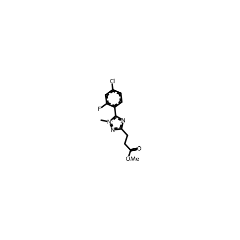 COC(=O)CCc1nc(-c2ccc(Cl)cc2F)n(C)n1